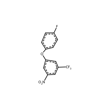 O=[N+]([O-])c1cc(Oc2ccc(F)cc2)cc(C(F)(F)F)c1